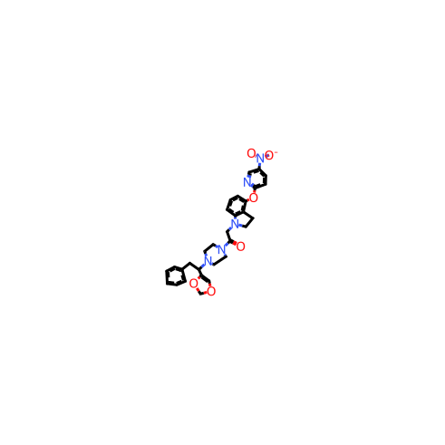 O=C(CN1CCc2c(Oc3ccc([N+](=O)[O-])cn3)cccc21)N1CCN(C(Cc2ccccc2)C2=COCO2)CC1